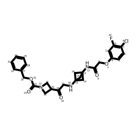 O=C(COc1ccc(Cl)c(F)c1)NC12CC(NCC(=O)C3CN(C(=O)OCc4ccccc4)C3)(C1)C2